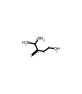 C=C(CCO)C(N)N